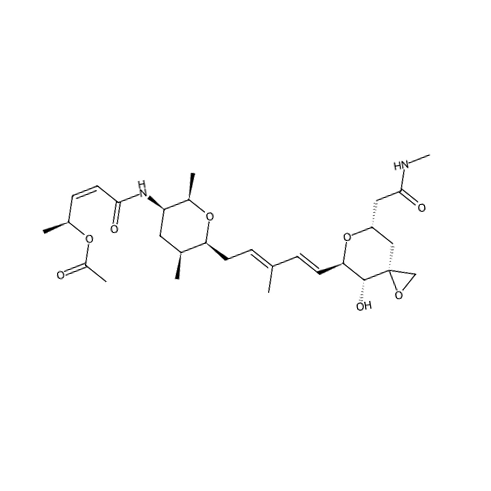 CNC(=O)C[C@@H]1C[C@@]2(CO2)[C@H](O)[C@@H](/C=C/C(C)=C/C[C@@H]2O[C@H](C)[C@H](NC(=O)/C=C\[C@H](C)OC(C)=O)C[C@@H]2C)O1